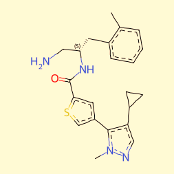 Cc1ccccc1C[C@@H](CN)NC(=O)c1cc(-c2c(C3CC3)cnn2C)cs1